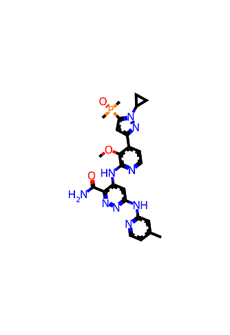 COc1c(-c2cc(P(C)(C)=O)n(C3CC3)n2)ccnc1Nc1cc(Nc2cc(C)ccn2)nnc1C(N)=O